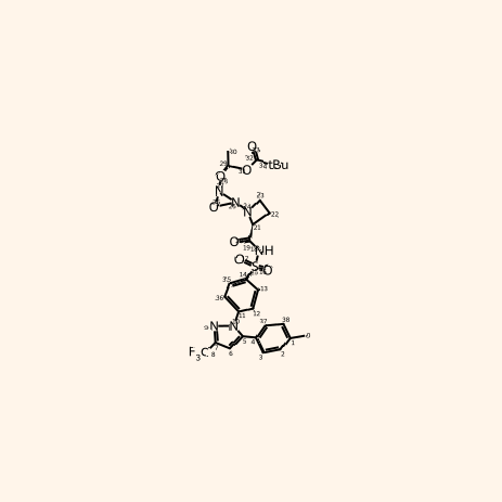 Cc1ccc(-c2cc(C(F)(F)F)nn2-c2ccc(S(=O)(=O)NC(=O)[C@@H]3CCN3n3on3OC(C)OC(=O)C(C)(C)C)cc2)cc1